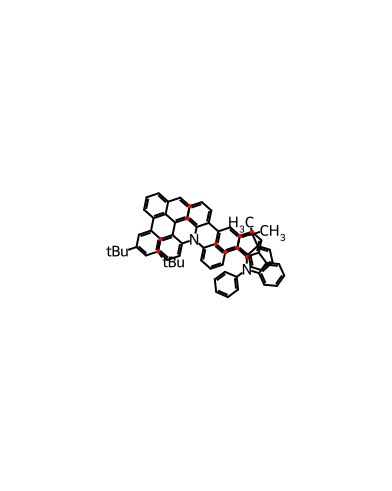 CC(C)(C)c1cc(-c2cccc3cccc(-c4ccccc4N(c4cccc(-c5cccc6c7ccccc7n(-c7ccccc7)c56)c4)c4ccccc4-c4ccc5c(c4)C(C)(C)c4ccccc4-5)c23)cc(C(C)(C)C)c1